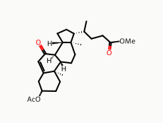 COC(=O)CCC(C)[C@H]1CC[C@H]2[C@@H]3C(=O)C=C4CC(OC(C)=O)CC[C@]4(C)[C@H]3CC[C@]12C